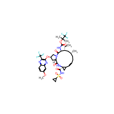 CC[C@@H]1C[C@H](C)CC/C=C\C2C[C@@]2(C(=O)NS(=O)(=O)C2CC2)NC(=O)[C@@H]2C[C@@H](Oc3nc4cc(OC)ccc4nc3C(F)(F)F)CN2C(=O)[C@H]1NC(=O)OC(C)(C)C(F)(F)F